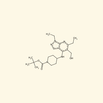 CCc1nc2c(cnn2CC)c(NC2CCN(C(=O)OC(C)(C)C)CC2)c1CO